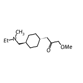 CCN(C)C[C@H]1CC[C@H](CC(=O)COC)CC1